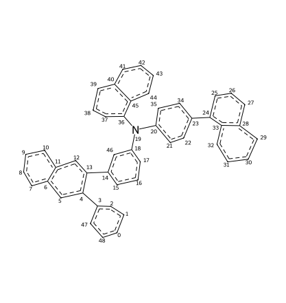 c1ccc(-c2cc3ccccc3cc2-c2cccc(N(c3ccc(-c4cccc5ccccc45)cc3)c3cccc4ccccc34)c2)cc1